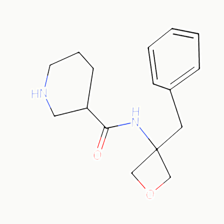 O=C(NC1(Cc2ccccc2)COC1)C1CCCNC1